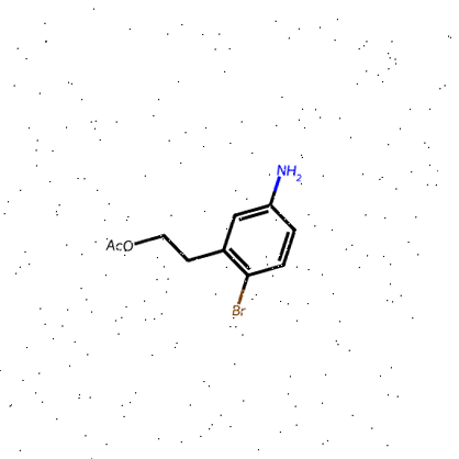 CC(=O)OCCc1cc(N)ccc1Br